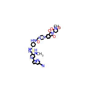 CNc1cc(-c2ccc3cc(C#N)cnn23)ncc1-c1nnc([C@H]2CC[C@H](NC(=O)CN3CCN(c4ccc5c(c4)C(=O)N(C4CCC(=O)N(C)C4=O)C5=O)CC3)CC2)s1